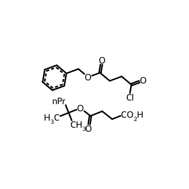 CCCC(C)(C)OC(=O)CCC(=O)O.O=C(Cl)CCC(=O)OCc1ccccc1